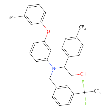 CC(C)c1cccc(Oc2cccc(N(Cc3cccc(C(F)(F)C(F)(F)F)c3)C(CO)c3ccc(C(F)(F)F)cc3)c2)c1